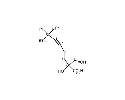 CC(C)[Si](C#CCCC(O)(CO)C(=O)O)(C(C)C)C(C)C